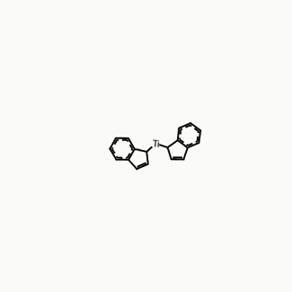 C1=C[CH]([Ti][CH]2C=Cc3ccccc32)c2ccccc21